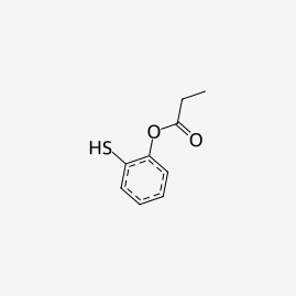 CCC(=O)Oc1ccccc1S